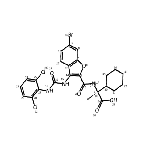 C[C@@](NC(=O)c1oc2cc(Br)ccc2c1NC(=O)Nc1c(Cl)cccc1Cl)(C(=O)O)C1CCCCC1